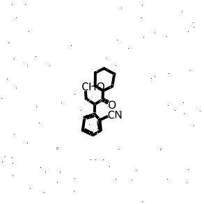 N#Cc1ccccc1C(CC=O)C(=O)C1CCCCC1